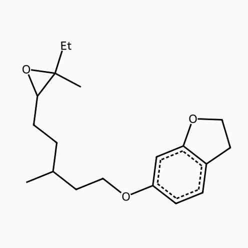 CCC1(C)OC1CCC(C)CCOc1ccc2c(c1)OCC2